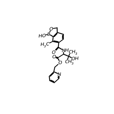 Cc1c(C(=O)NC(C(=O)OCc2ccccn2)C(C)(C)O)ccc2c1B(O)OC2